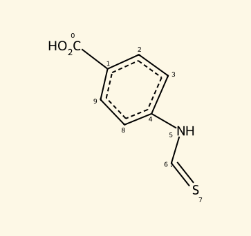 O=C(O)c1ccc(N[C]=S)cc1